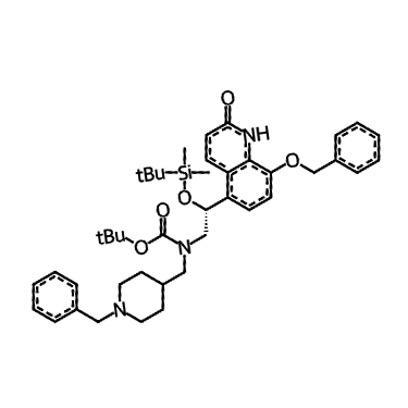 CC(C)(C)OC(=O)N(CC1CCN(Cc2ccccc2)CC1)C[C@H](O[Si](C)(C)C(C)(C)C)c1ccc(OCc2ccccc2)c2[nH]c(=O)ccc12